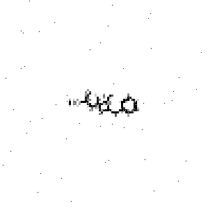 CC1C(Cc2ccccc2)CC1(N)CC(=O)O